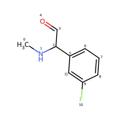 CNC(C=O)c1cccc(F)c1